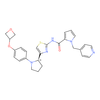 O=C(Nc1nc([C@H]2CCCN2c2ccc(OC3COC3)cc2)cs1)c1cccn1Cc1ccncc1